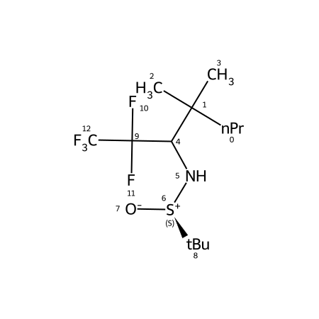 CCCC(C)(C)C(N[S@+]([O-])C(C)(C)C)C(F)(F)C(F)(F)F